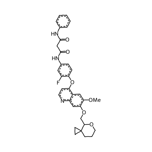 COc1cc2c(Oc3ccc(NC(=O)CC(=O)Nc4ccccc4)cc3F)ccnc2cc1OCC1OCCCC12CC2